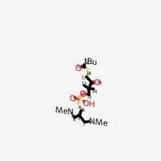 CNCC(CNC)CSP(=O)(O)OCC(C)(C)C(=O)CSC(=O)C(C)(C)C